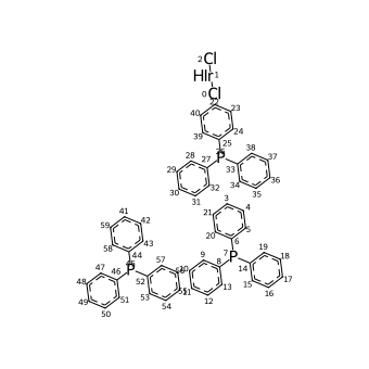 [Cl][IrH][Cl].c1ccc(P(c2ccccc2)c2ccccc2)cc1.c1ccc(P(c2ccccc2)c2ccccc2)cc1.c1ccc(P(c2ccccc2)c2ccccc2)cc1